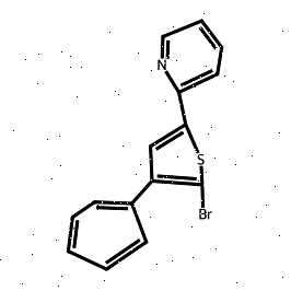 Brc1sc(-c2ccccn2)cc1-c1ccccc1